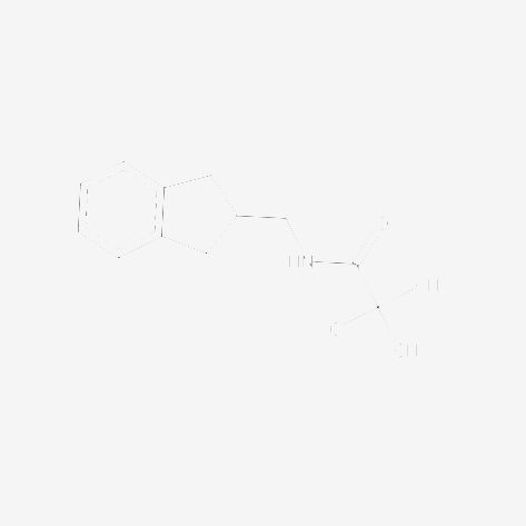 CC(C)(C)C(=O)NCC1Cc2ccccc2C1